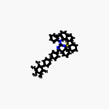 [2H]c1c([2H])c([2H])c(-c2ccc(-c3ccc(-c4nc(-n5c6ccccc6c6ccc7ccc8c9ccccc9sc8c7c65)nc5ccccc45)cc3)cc2)c([2H])c1[2H]